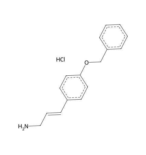 Cl.NCC=Cc1ccc(OCc2ccccc2)cc1